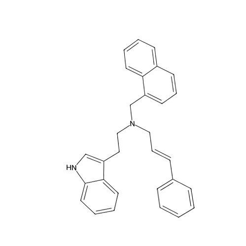 C(=Cc1ccccc1)CN(CCc1c[nH]c2ccccc12)Cc1cccc2ccccc12